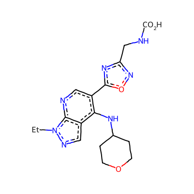 CCn1ncc2c(NC3CCOCC3)c(-c3nc(CNC(=O)O)no3)cnc21